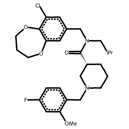 COc1cc(F)ccc1CN1CCC[C@@H](C(=O)N(Cc2cc(Cl)c3c(c2)OCCCO3)CC(C)C)C1